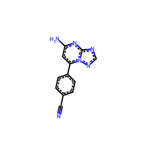 N#Cc1ccc(-c2cc(N)nc3ncnn23)cc1